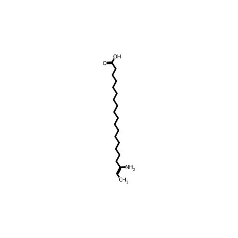 CC=C(N)CCCCCCCCCCCCCCCCC(=O)O